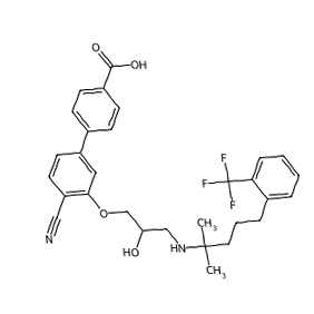 CC(C)(CCCc1ccccc1C(F)(F)F)NCC(O)COc1cc(-c2ccc(C(=O)O)cc2)ccc1C#N